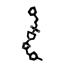 Cc1ccc(Cc2nsc(N3CCN(S(=O)(=O)CC=Cc4ccccc4)CC3)n2)cc1